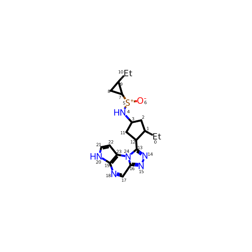 CCC1CC(N[S+]([O-])C2CC2CC)CC1c1nnc2cnc3[nH]ccc3n12